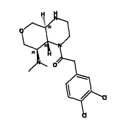 CN(C)[C@H]1COC[C@H]2NCCN(C(=O)Cc3ccc(Cl)c(Cl)c3)[C@@H]21